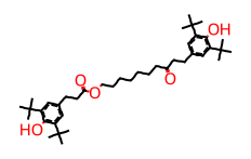 CC(C)(C)c1cc(CCC(=O)CCCCCCCOC(=O)CCc2cc(C(C)(C)C)c(O)c(C(C)(C)C)c2)cc(C(C)(C)C)c1O